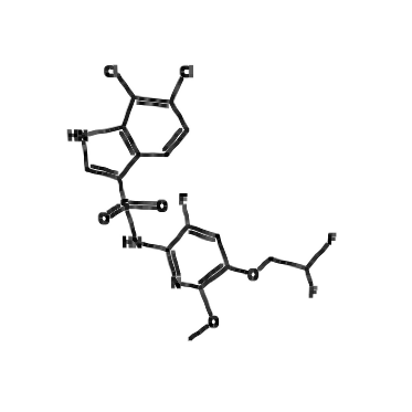 COc1nc(NS(=O)(=O)c2c[nH]c3c(Cl)c(Cl)ccc23)c(F)cc1OCC(F)F